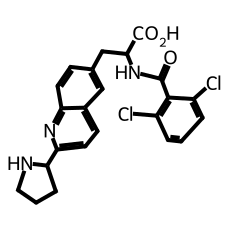 O=C(NC(Cc1ccc2nc(C3CCCN3)ccc2c1)C(=O)O)c1c(Cl)cccc1Cl